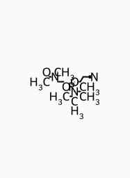 CC(=O)N(C)CCOP(OCCC#N)N(C(C)C)C(C)C